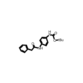 CC(C)(C)OC(=O)Nc1ccc(NC(=O)Cc2ccccc2)cc1